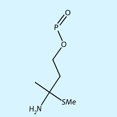 CSC(C)(N)CCOP=O